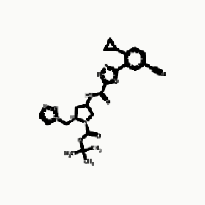 CC(C)(C)OC(=O)N1CC(NC(=O)c2nnc(-c3cc(C#N)ccc3C3CC3)o2)C[C@@H]1Cn1ccnn1